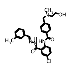 Cc1cccc(C=NNC(=O)c2cc(Cl)ccc2NC(=O)c2ccc(CN(C)CCO)cc2)c1